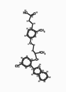 Cc1cc(OCCC(C)Oc2ccc(Cl)cc2-c2cc3ccccc3o2)ccc1CCC(=O)O